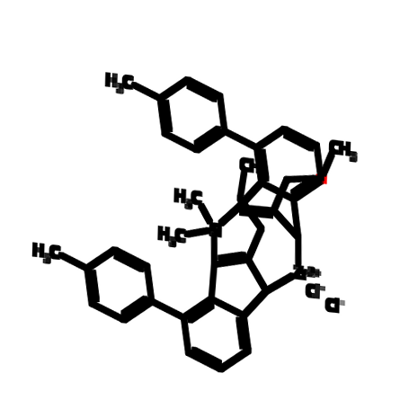 CCCC1=C2c3c(-c4ccc(C)cc4)cccc3[CH]1[Zr+2][CH]1C(CCC)=C(c3c(-c4ccc(C)cc4)cccc31)[Si]2(C)C.[Cl-].[Cl-]